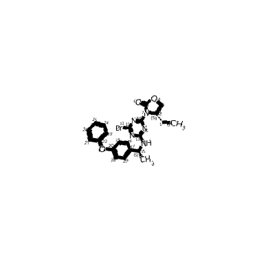 CC[C@H]1COC(=O)N1c1nc(Br)nc(N[C@@H](C)c2ccc(Oc3ccccc3)cc2)n1